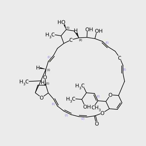 C/C(=C\C(C)C(C)O)C1OC2C=CC1OC(=O)\C=C/C=C\C=C\C1OC3C[C@@H]1O[C@@H](/C=C/CC1C[C@H](C[C@H](O)C1C)C(O)C(O)/C=C/CC/C=C/C2)C3C